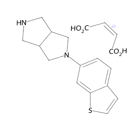 O=C(O)/C=C\C(=O)O.c1cc2ccc(N3CC4CNCC4C3)cc2s1